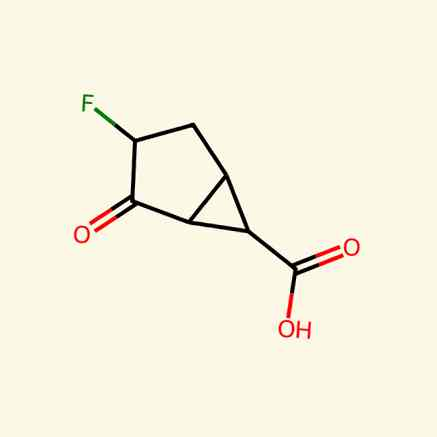 O=C(O)C1C2CC(F)C(=O)C21